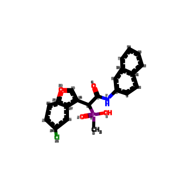 CP(=O)(O)C(C(=O)Nc1ccc2ccccc2c1)c1coc2ccc(Cl)cc12